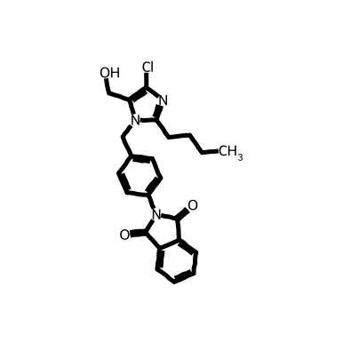 CCCCc1nc(Cl)c(CO)n1Cc1ccc(N2C(=O)c3ccccc3C2=O)cc1